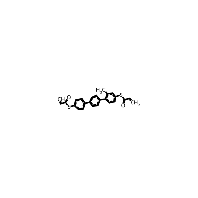 C=CC(=O)Sc1ccc(-c2ccc(-c3ccc(SC(=O)C=C)cc3C)cc2)cc1